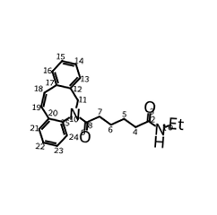 CCNC(=O)CCCCC(=O)N1Cc2ccccc2/C=C\c2ccccc21